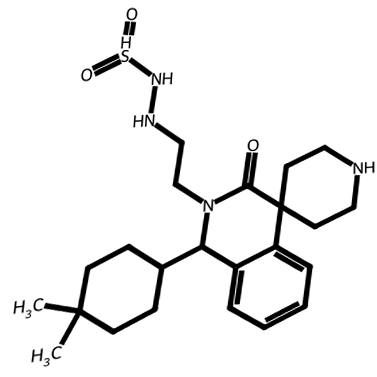 CC1(C)CCC(C2c3ccccc3C3(CCNCC3)C(=O)N2CCNN[SH](=O)=O)CC1